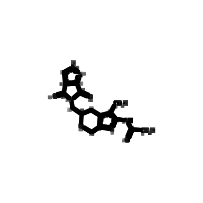 O=C(O)C(=O)Nc1sc2c(c1C(=O)O)CC(CN1C(=O)c3c[nH]nc3C1=O)OC2